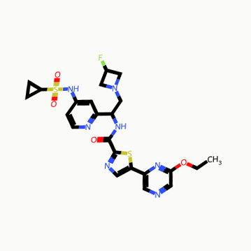 CCOc1cncc(-c2cnc(C(=O)NC(CN3CC(F)C3)c3cc(NS(=O)(=O)C4CC4)ccn3)s2)n1